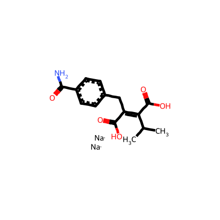 CC(C)C(C(=O)O)=C(Cc1ccc(C(N)=O)cc1)C(=O)O.[Na].[Na]